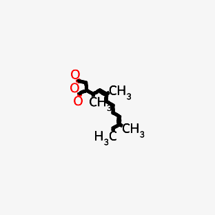 CCC(C)=CCCCC(C)=CC(C)C1CC(=O)OC1=O